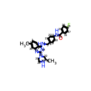 Cc1ccc2c(NCc3ccc(NC(=O)c4ccc(F)cc4)cc3)nc(N3CCN[C@H](C)C3)nc2c1